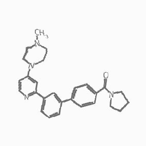 CN1CCN(c2ccnc(-c3cccc(-c4ccc(C(=O)N5CCCC5)cc4)c3)c2)CC1